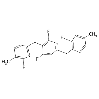 Cc1ccc(Cc2cc(F)c(Cc3ccc(C)c(F)c3)c(F)c2)c(F)c1